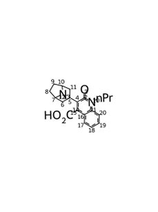 CCCn1c(=O)c(C2CC3CCC(C2)N3C)c(C(=O)O)c2ccccc21